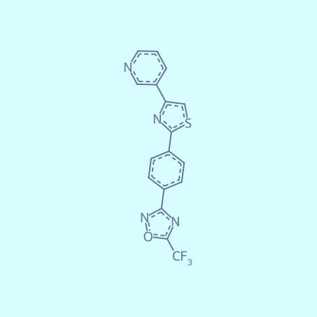 FC(F)(F)c1nc(-c2ccc(-c3nc(-c4cccnc4)cs3)cc2)no1